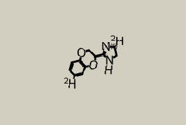 [2H]c1ccc2c(c1)OC(C1=N[C@@H]([2H])CN1)CO2